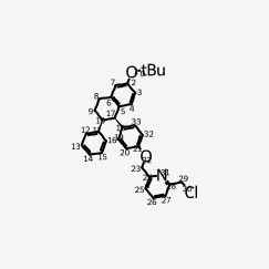 CC(C)(C)Oc1ccc2c(c1)CC[C@H](c1ccccc1)[C@@H]2c1ccc(OCc2cccc(CCl)n2)cc1